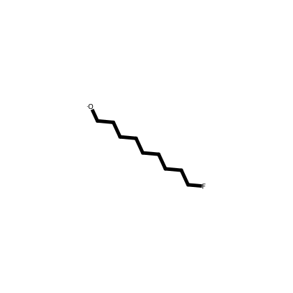 [O]CCCCCCCCCF